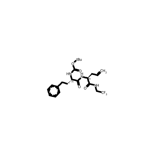 C=CC[C@H](NC(=O)[C@H](CCc1ccccc1)NC(=O)OC(C)(C)C)C(=O)NCC(F)(F)F